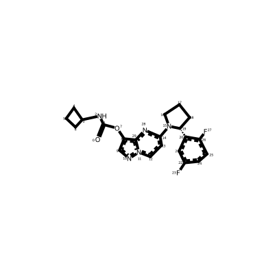 O=C(NC1CCC1)Oc1cnn2ccc(N3CCC[C@@H]3c3cc(F)ccc3F)nc12